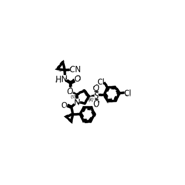 N#CC1(NC(=O)O[C@H]2C[C@@H](S(=O)(=O)c3ccc(Cl)cc3Cl)CN2C(=O)C2(c3ccccc3)CC2)CC1